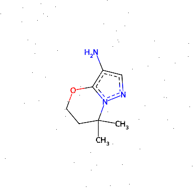 CC1(C)CCOc2c(N)cnn21